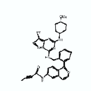 CC#CC(=O)Nc1ccc2c(-c3ccccc3CNc3nc(N[C@H]4CC[C@H](OC)CC4)nc4c(C(C)C)cnn34)nccc2c1